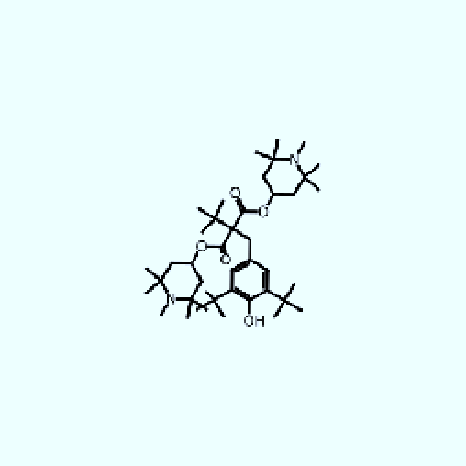 CN1C(C)(C)CC(OC(=O)C(Cc2cc(C(C)(C)C)c(O)c(C(C)(C)C)c2)(C(=O)OC2CC(C)(C)N(C)C(C)(C)C2)C(C)(C)C)CC1(C)C